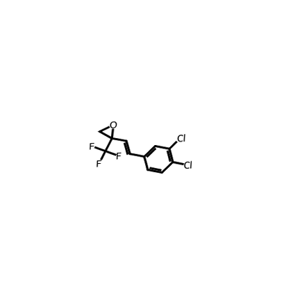 FC(F)(F)C1(/C=C/c2ccc(Cl)c(Cl)c2)CO1